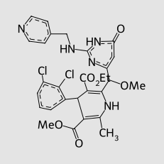 CCOC(=O)C1=C(C(OC)c2cc(=O)[nH]c(NCc3ccncc3)n2)NC(C)=C(C(=O)OC)C1c1cccc(Cl)c1Cl